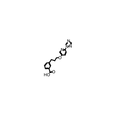 O=C(O)c1cccc(CCCOc2ccc(-n3cncn3)nc2)c1